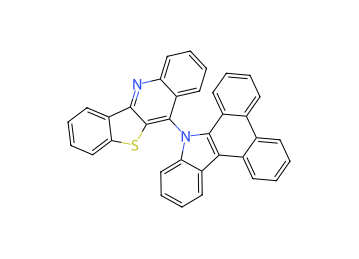 c1ccc2c(-n3c4ccccc4c4c5ccccc5c5ccccc5c43)c3sc4ccccc4c3nc2c1